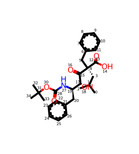 CC(C)C[C@](Cc1ccccc1)(C(=O)O)C(=O)[C@@H](O)[C@@H](Cc1ccccc1)NC(=O)OC(C)(C)C